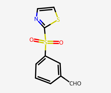 O=Cc1cccc(S(=O)(=O)c2nccs2)c1